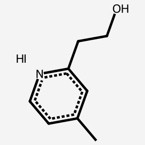 Cc1ccnc(CCO)c1.I